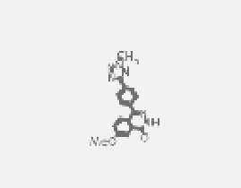 COc1ccc2c(-c3ccc(-c4nnn(C)n4)cc3)n[nH]c(=O)c2c1